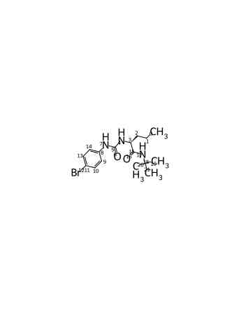 CCC[C@H](NC(=O)Nc1ccc(Br)cc1)C(=O)NC(C)(C)C